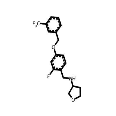 Fc1cc(OCc2cccc(C(F)(F)F)c2)ccc1CNC1CCOC1